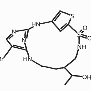 CC(O)C1CCNc2nc(ncc2Br)Nc2csc(c2)S(=O)(=O)NC1